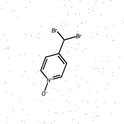 [O-][n+]1ccc(C(Br)Br)cc1